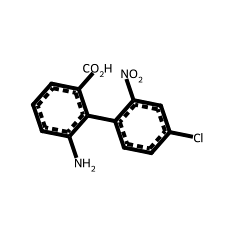 Nc1cccc(C(=O)O)c1-c1ccc(Cl)cc1[N+](=O)[O-]